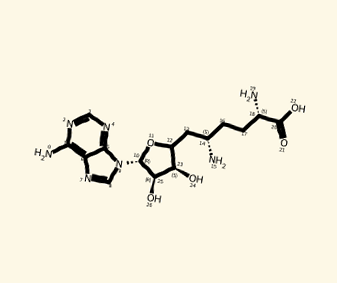 Nc1ncnc2c1ncn2[C@@H]1OC(C[C@@H](N)CC[C@H](N)C(=O)O)[C@@H](O)[C@H]1O